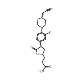 N#CC=C1CCN(c2ccc(N3CC(CCC(N)=O)OC3=O)cc2F)CC1